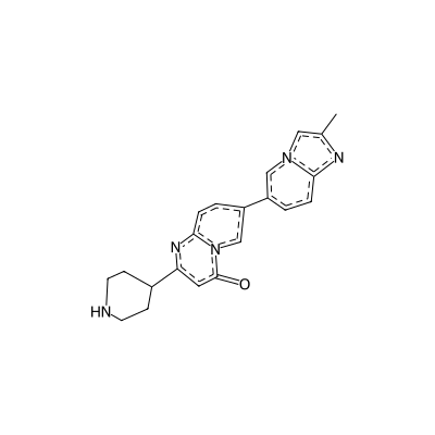 Cc1cn2cc(-c3ccc4nc(C5CCNCC5)cc(=O)n4c3)ccc2n1